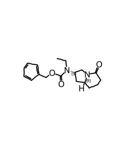 CCN(C(=O)OCc1ccccc1)[C@H]1C[C@H]2CCCC(=O)N2C1